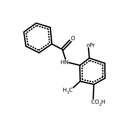 CCCc1ccc(C(=O)O)c(C)c1NC(=O)c1ccccc1